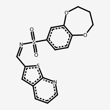 O=S(=O)(/N=C\c1cc2cccnc2s1)c1ccc2c(c1)OCCCO2